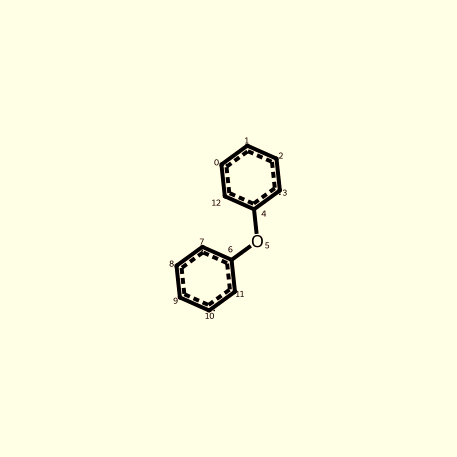 [c]1cc[c]c(Oc2[c]cc[c]c2)c1